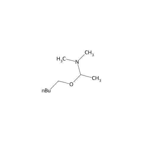 CCCCCOC(C)N(C)C